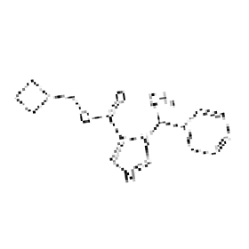 CC(c1ccccc1)n1cncc1C(=O)OCC1CCC1